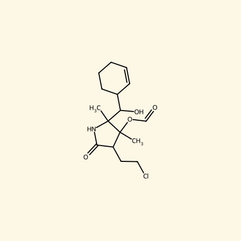 CC1(C(O)C2C=CCCC2)NC(=O)C(CCCl)C1(C)OC=O